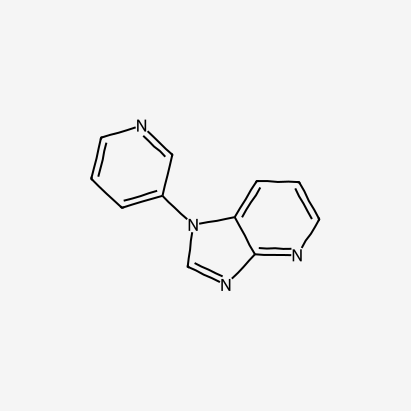 c1cncc(-n2cnc3ncccc32)c1